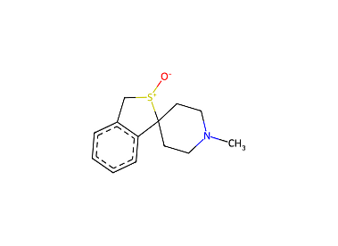 CN1CCC2(CC1)c1ccccc1C[S+]2[O-]